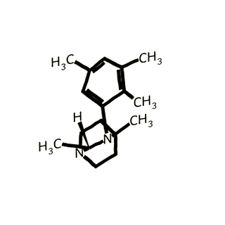 Cc1cc(C)c(C)c(N2[C@@H](C)N3CCC2(C)CC3)c1